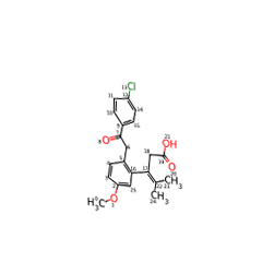 COc1ccc(CC(=O)c2ccc(Cl)cc2)c(C(CC(=O)O)=C(C)C)c1